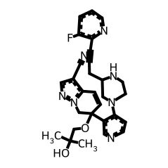 CC(C)(O)COC1(c2cnccc2N2CCNC(CC#Cc3ncccc3F)C2)C=Cc2c(C#N)cnn2C1